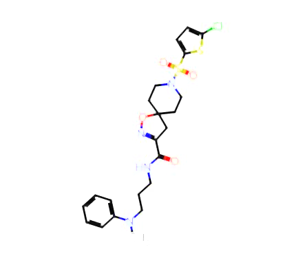 CN(CCCNC(=O)C1=NOC2(CCN(S(=O)(=O)c3ccc(Cl)s3)CC2)C1)c1ccccc1